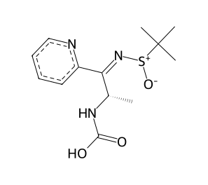 C[C@H](NC(=O)O)C(=N[S+]([O-])C(C)(C)C)c1ccccn1